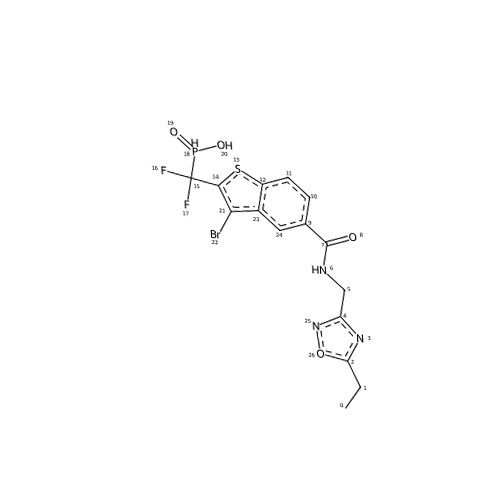 CCc1nc(CNC(=O)c2ccc3sc(C(F)(F)[PH](=O)O)c(Br)c3c2)no1